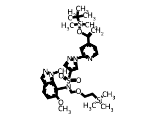 C=C(O[Si](C)(C)C(C)(C)C)c1ccnc(-n2cc(S(=O)(=O)N(COCC[Si](C)(C)C)c3c(OC)ccc4cnn(C)c34)cn2)c1